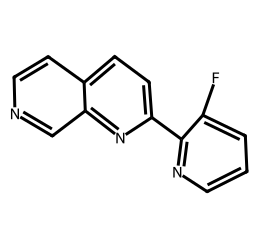 Fc1cccnc1-c1ccc2ccncc2n1